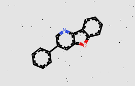 c1ccc(-c2cnc3c(c2)oc2ccccc23)cc1